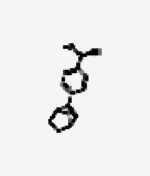 OB(O)c1ccc(C2=CC3CCC2C3)cc1